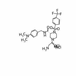 CN(C)c1ccc(CNC(=O)[C@H]2CN(C(=O)CN)CCN2S(=O)(=O)c2ccc(C(F)(F)F)cc2)cc1.Cl.Cl